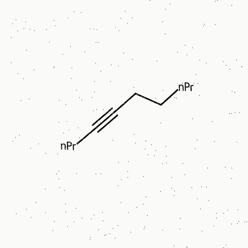 C[CH]CC#CCCCCC